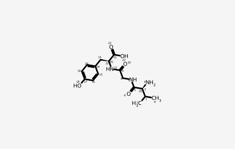 CC(C)[C@H](N)C(=O)NCC(=O)N[C@@H](Cc1ccc(O)cc1)C(=O)O